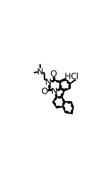 Cc1cc2c(=O)n(CCN(C)C)c(=O)n3c4ccc5ccccc5c4c(c1)c23.Cl